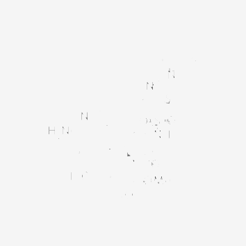 COC(=O)C(Cc1cc2ccnc(N)c2cc1C(F)(F)F)N1CCC(NS(=O)(=O)c2cnc(N3CCCC3)s2)C1=O